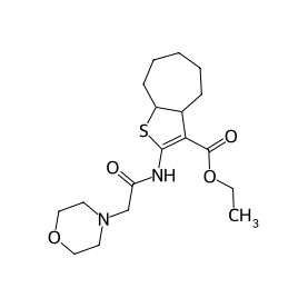 CCOC(=O)C1=C(NC(=O)CN2CCOCC2)SC2CCCCCC12